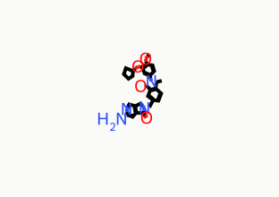 COc1ccc(N2C(=O)c3cc(CN4Cc5cnc(N)cc5C4=O)ccc3C2C)cc1OC1CCCC1